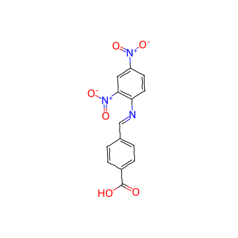 O=C(O)c1ccc(C=Nc2ccc([N+](=O)[O-])cc2[N+](=O)[O-])cc1